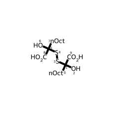 CCCCCCCCC(O)(SSC(O)(CCCCCCCC)C(=O)O)C(=O)O